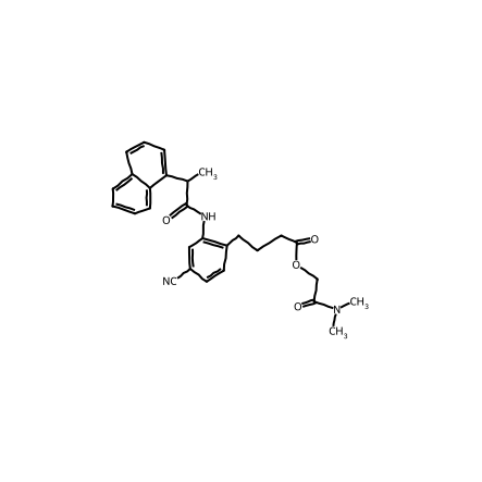 CC(C(=O)Nc1cc(C#N)ccc1CCCC(=O)OCC(=O)N(C)C)c1cccc2ccccc12